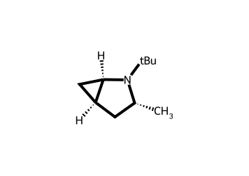 C[C@@H]1C[C@H]2C[C@H]2N1C(C)(C)C